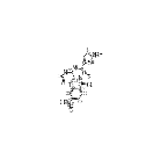 C[C@@H]1C(c2ccc(Br)s2)=Nc2ncccc2N1C(=O)c1ccc([N+](=O)[O-])cc1